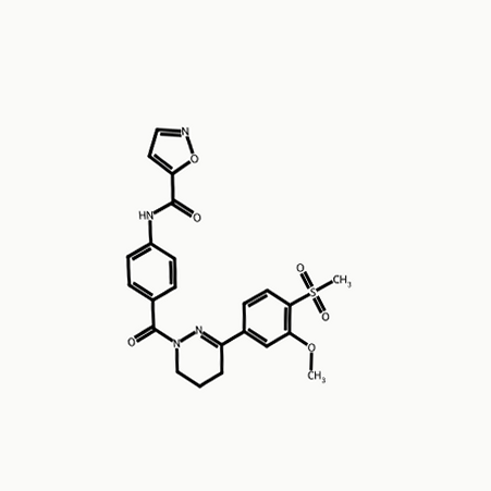 COc1cc(C2=NN(C(=O)c3ccc(NC(=O)c4ccno4)cc3)CCC2)ccc1S(C)(=O)=O